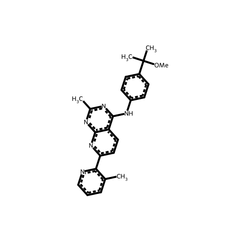 COC(C)(C)c1ccc(Nc2nc(C)nc3nc(-c4ncccc4C)ccc23)cc1